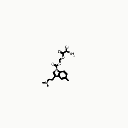 CCC(N)C(=O)OCOC(=O)n1cc(CCN(C)C)c2cc(C)ccc21